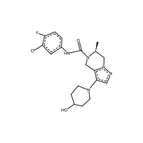 C[C@H]1Cn2ncc(N3CCC(O)CC3)c2CN1C(=O)Nc1ccc(F)c(Cl)c1